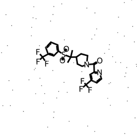 CC(C)(C1CCN(C(=O)c2cc(C(F)(F)F)ccn2)CC1)S(=O)(=O)c1cccc(C(F)(F)F)c1